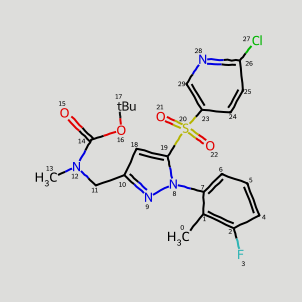 Cc1c(F)cccc1-n1nc(CN(C)C(=O)OC(C)(C)C)cc1S(=O)(=O)c1ccc(Cl)nc1